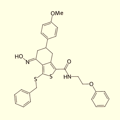 COc1ccc(C2C/C(=N\O)c3c(SCc4ccccc4)sc(C(=O)NCCOc4ccccc4)c3C2)cc1